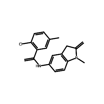 C=C(Nc1ccc2c(c1)CC(=C)N2C)c1cc(C)ccc1Cl